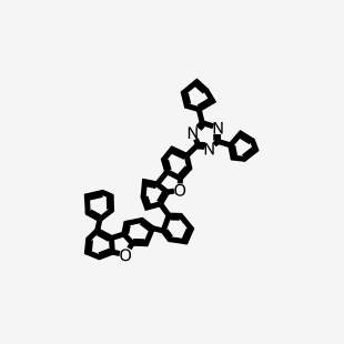 c1ccc(-c2nc(-c3ccccc3)nc(-c3ccc4c(c3)oc3c(-c5ccccc5-c5ccc6c(c5)oc5cccc(-c7ccccc7)c56)cccc34)n2)cc1